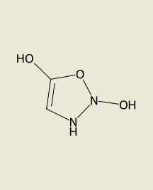 OC1=CNN(O)O1